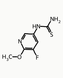 COc1ncc(NC(N)=S)cc1F